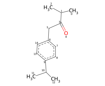 CC(C)C(=O)Cc1ccc(C(C)C)cc1